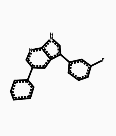 Fc1cccc(-c2c[nH]c3ncc(-c4ccccc4)cc23)c1